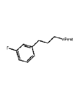 CCCCCCCCc1[c]ccc(F)c1